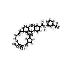 Nc1ncc2c3c1c(-c1ccc(C(=O)Nc4cc(C(F)(F)F)ccn4)cc1)nn3[C@@H]1CC[C@H](C1)NC(=O)[C@@H]1CCN1CC/C=C/2